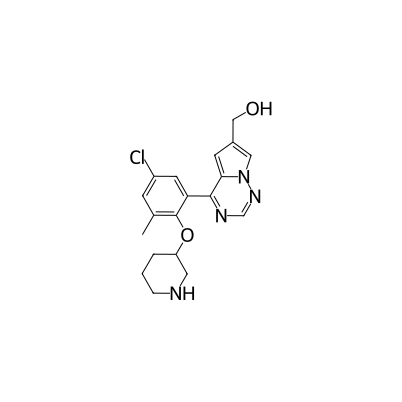 Cc1cc(Cl)cc(-c2ncnn3cc(CO)cc23)c1OC1CCCNC1